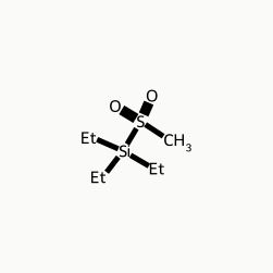 CC[Si](CC)(CC)S(C)(=O)=O